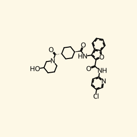 O=C(Nc1ccc(Cl)cn1)c1oc2ccccc2c1NC(=O)[C@H]1CC[C@H](C(=O)N2CCCC(O)C2)CC1